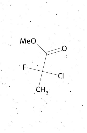 COC(=O)C(C)(F)Cl